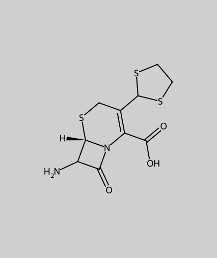 NC1C(=O)N2C(C(=O)O)=C(C3SCCS3)CS[C@@H]12